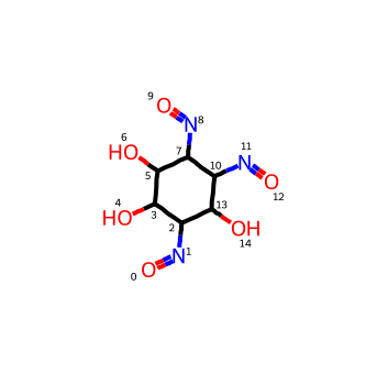 O=NC1C(O)C(O)C(N=O)C(N=O)C1O